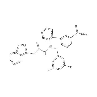 CNC(=O)c1cccc(-c2cccnc2[C@H](Cc2cc(F)cc(F)c2)NC(=O)Cn2ccc3ccccc32)c1